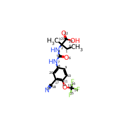 CCC(C)(NC(=O)Nc1ccc(OC(F)(F)F)c(C#N)c1)C(=O)O